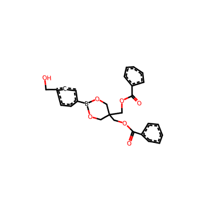 O=C(OCC1(COC(=O)c2ccccc2)COB(c2ccc(CO)cc2)OC1)c1ccccc1